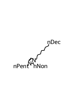 CCCCCCCCCCCCCCCCCN1C=CN(CCCCC)C1CCCCCCCCC